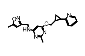 Cc1nc(NCc2cc(C)on2)cc(OCC2CC2c2ccccn2)n1